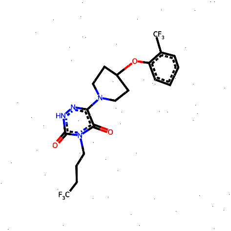 O=c1[nH]nc(N2CCC(Oc3ccccc3C(F)(F)F)CC2)c(=O)n1CCCC(F)(F)F